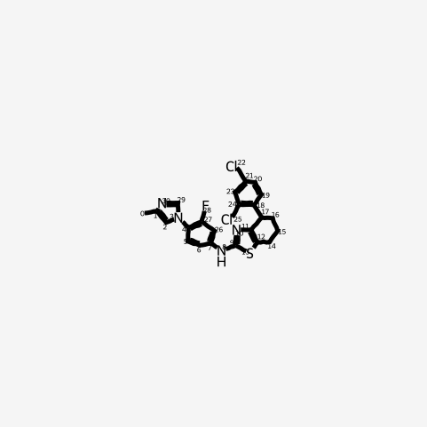 Cc1cn(-c2ccc(Nc3nc4c(s3)CCCC4c3ccc(Cl)cc3Cl)cc2F)cn1